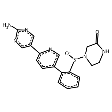 Nc1ncc(-c2ccc(-c3ccccc3[S+]([O-])N3CCNC(=O)C3)cn2)cn1